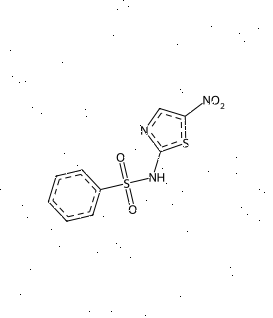 O=[N+]([O-])c1cnc(NS(=O)(=O)c2ccccc2)s1